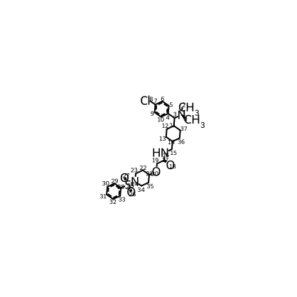 CN(C)C(c1ccc(Cl)cc1)C1CCC(CNC(=O)COC2CCN(S(=O)(=O)c3ccccc3)CC2)CC1